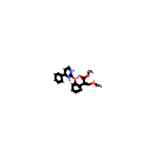 COC=C(C(=O)OC)c1ccccc1Oc1nccc(-c2ccccc2)n1